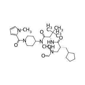 CN(C(=O)[C@@H](NC(=O)[C@H](CC1CCCC1)CN(O)C=O)C(C)(C)C)C1CCN(C(=O)c2cccn2C)CC1